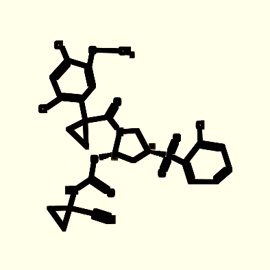 COc1cc(C2(C(=O)N3C[C@H](S(=O)(=O)c4ccccc4Cl)C[C@@H]3OC(=O)NC3(C#N)CC3)CC2)c(Cl)cc1Cl